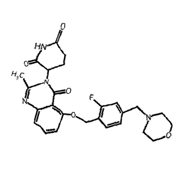 Cc1nc2cccc(OCc3ccc(CN4CCOCC4)cc3F)c2c(=O)n1C1CCC(=O)NC1=O